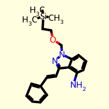 C[Si](C)(C)CCOCn1nc(/C=C/c2ccccc2)c2c(N)cccc21